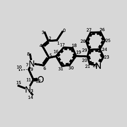 CC/C(C)=C\C(=C/N(C)[C@@H](C)C(=O)N(C)C)c1ccc(-c2cncc3ccccc23)cc1